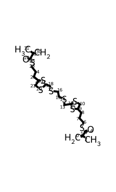 C=C(C)C(=O)SCCCC1CSC(CSCCSCC2SCC(CCCSC(=O)C(=C)C)S2)S1